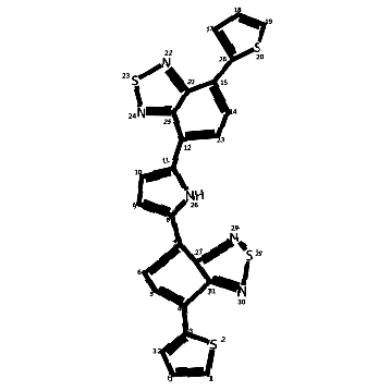 c1csc(-c2ccc(-c3ccc(-c4ccc(-c5cccs5)c5nsnc45)[nH]3)c3nsnc23)c1